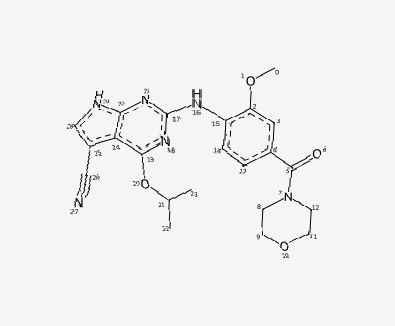 COc1cc(C(=O)N2CCOCC2)ccc1Nc1nc(OC(C)C)c2c(C#N)c[nH]c2n1